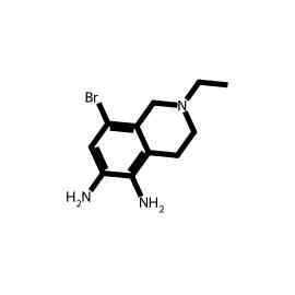 CCN1CCc2c(N)c(N)cc(Br)c2C1